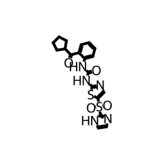 O=C(Nc1ncc(S(=O)(=O)c2ncc[nH]2)s1)Nc1ccccc1C(=O)C1CCCC1